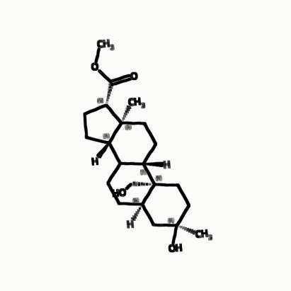 COC(=O)[C@H]1CC[C@H]2C3CC[C@@H]4C[C@](C)(O)CC[C@]4(CO)[C@H]3CC[C@]12C